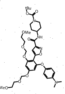 COCCOCOc1cc(OCOCCOC)c(-c2cc(C(=O)NC3CCN(C(=O)OC(C)(C)C)CC3)no2)c(Oc2ccc(N(C)C)cc2)c1